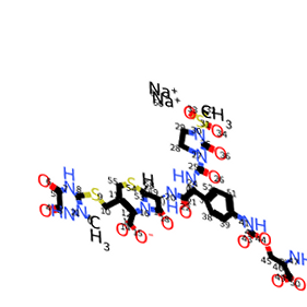 CN1NC(=O)C(=O)NC1SCC1=C(C(=O)[O-])N2C(=O)[C@@H](NC(=O)[C@H](NC(=O)N3CCN(S(C)(=O)=O)C3=O)c3ccc(NC(=O)OC[C@@H](N)C(=O)[O-])cc3)[C@@H]2SC1.[Na+].[Na+]